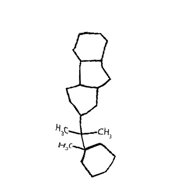 CC1(C(C)(C)C2CCC3C(CC4CCCCC43)C2)CCCCC1